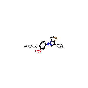 N#Cc1cn(-c2ccc(C(=O)O)c(O)c2)c2ccsc12